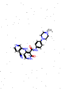 CN1CCN(c2ccc(NC(=O)c3c(Nc4cnccc4C#N)cc[nH]c3=O)cc2)CC1